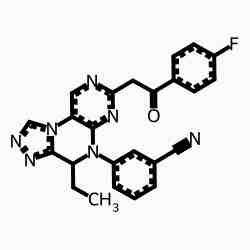 CCC1c2nncn2-c2cnc(CC(=O)c3ccc(F)cc3)nc2N1c1cccc(C#N)c1